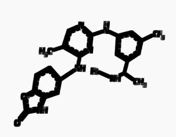 CCNC(C)c1cc(Nc2ncc(C)c(Nc3ccc4oc(=O)[nH]c4c3)n2)cc(C(F)(F)F)c1